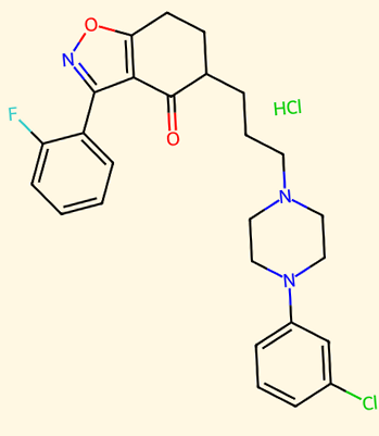 Cl.O=C1c2c(-c3ccccc3F)noc2CCC1CCCN1CCN(c2cccc(Cl)c2)CC1